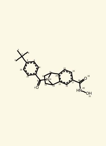 CC(C)(C)c1ccc(C(=O)N2C3CCC2c2cc(C(=O)NO)ccc23)cc1